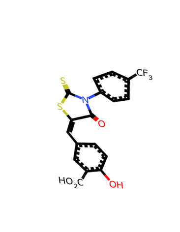 O=C(O)c1cc(/C=C2/SC(=S)N(c3ccc(C(F)(F)F)cc3)C2=O)ccc1O